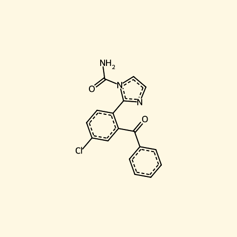 NC(=O)n1ccnc1-c1ccc(Cl)cc1C(=O)c1ccccc1